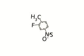 Cc1ccc([N+]([O-])=S)cc1F